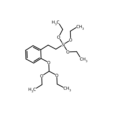 CCOC(OCC)Oc1ccccc1CC[Si](OCC)(OCC)OCC